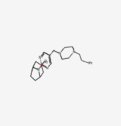 CC(C)CCN1CCN(Cc2cnc(N3C4CCC3CC(C(C)C)C4)nc2)CC1